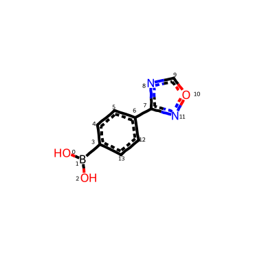 OB(O)c1ccc(-c2ncon2)cc1